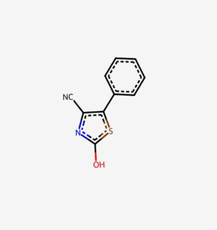 N#Cc1nc(O)sc1-c1ccccc1